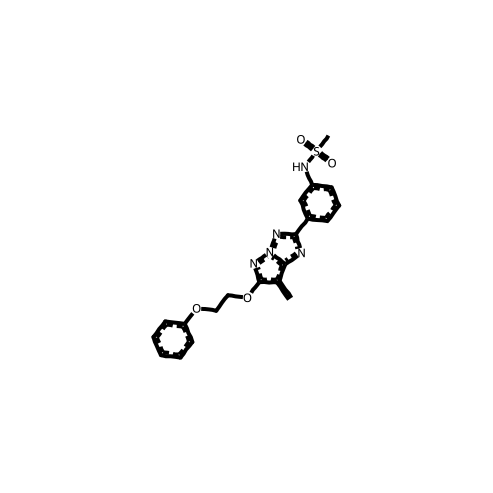 C=c1c(OCCOc2ccccc2)nn2nc(-c3cccc(NS(C)(=O)=O)c3)nc12